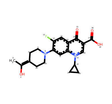 CC(O)=C1CCN(c2cc3c(cc2F)c(=O)c(C(=O)O)cn3C2CC2)CC1